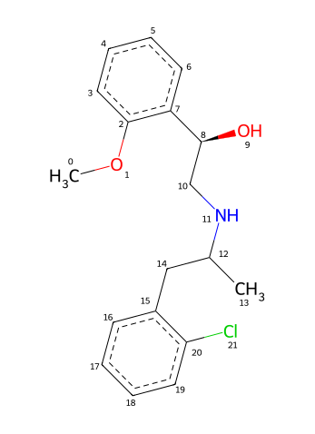 COc1ccccc1[C@@H](O)CNC(C)Cc1ccccc1Cl